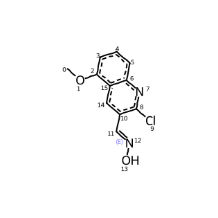 COc1cccc2nc(Cl)c(/C=N/O)cc12